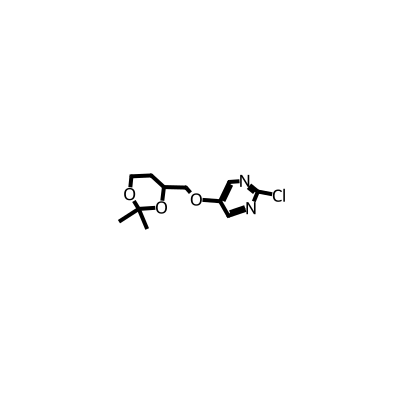 CC1(C)OCCC(COc2cnc(Cl)nc2)O1